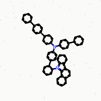 c1ccc(-c2ccc(-c3ccc(N(c4ccc(-c5ccccc5)cc4)c4ccc(-c5ccccc5-n5c6ccccc6c6ccc7ccccc7c65)cc4)cc3)cc2)cc1